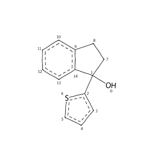 OC1(c2cccs2)CCc2ccccc21